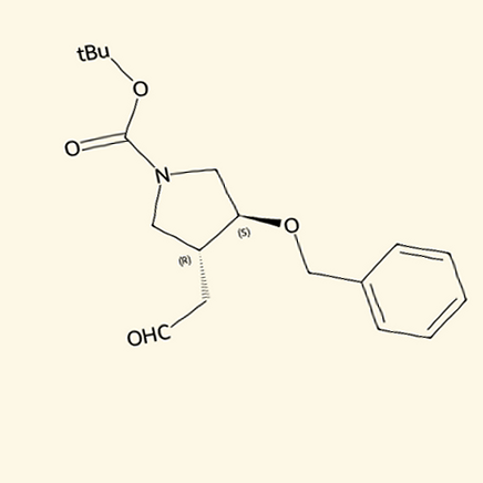 CC(C)(C)OC(=O)N1C[C@@H](CC=O)[C@H](OCc2ccccc2)C1